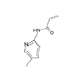 C=CC(=O)Nc1ccc(C)cn1